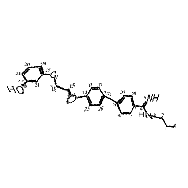 CCCNC(=N)c1ccc(-c2ccc(OCCOc3cccc(O)c3)cc2)cc1